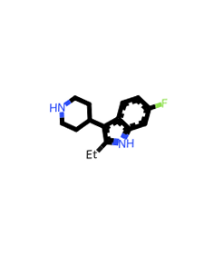 CCc1[nH]c2cc(F)ccc2c1C1CCNCC1